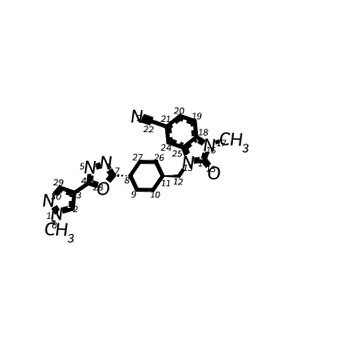 Cn1cc(-c2nnc([C@H]3CC[C@H](Cn4c(=O)n(C)c5ccc(C#N)cc54)CC3)o2)cn1